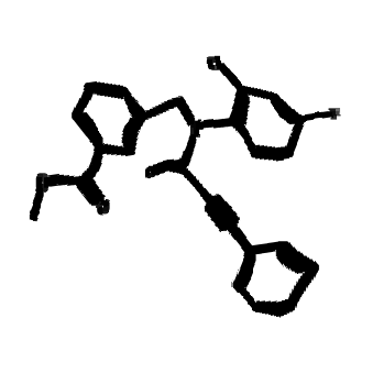 COC(=O)c1cccc(CN(C(=O)C#Cc2ccccc2)c2ccc(F)cc2Cl)c1